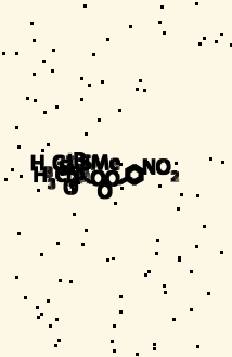 CS[C@@H]1[C@@H](COC(=O)OCc2ccc([N+](=O)[O-])cc2)C(=O)N1[Si](C)(C)C(C)(C)C